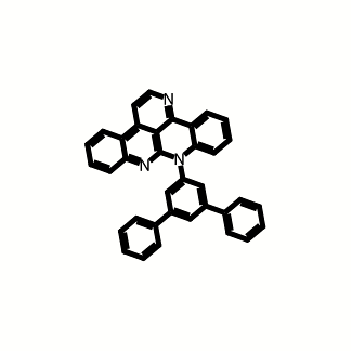 c1ccc(-c2cc(-c3ccccc3)cc(N3c4ccccc4-c4nccc5c4c3nc3ccccc35)c2)cc1